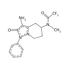 CN(C(=O)C(F)(F)F)C1CCn2c(c(N)c(=O)n2-c2ccccc2)C1